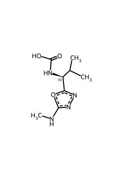 CNc1nnc([C@@H](NC(=O)O)C(C)C)o1